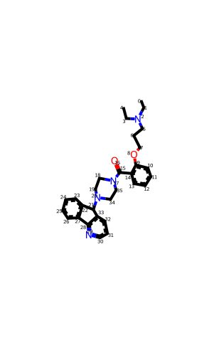 CCN(CC)CCCOc1ccccc1C(=O)N1CCN(C2c3ccccc3-c3ncccc32)CC1